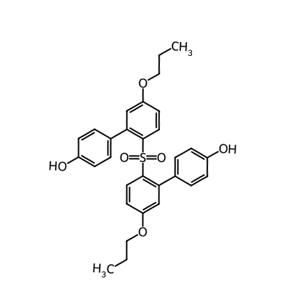 CCCOc1ccc(S(=O)(=O)c2ccc(OCCC)cc2-c2ccc(O)cc2)c(-c2ccc(O)cc2)c1